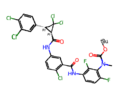 CN(C(=O)OC(C)(C)C)c1c(F)ccc(NC(=O)c2cc(NC(=O)[C@H]3[C@H](c4ccc(Cl)c(Cl)c4)C3(Cl)Cl)ccc2Cl)c1F